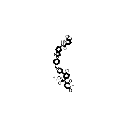 Cn1c(=O)n(C2CCC(=O)NC2=O)c2ccc(Cl)c(C3CCN(C[C@H]4CC[C@H](n5cc6cc(NC(=O)c7cccc(C(F)(F)F)n7)ccc6n5)CC4)CC3)c21